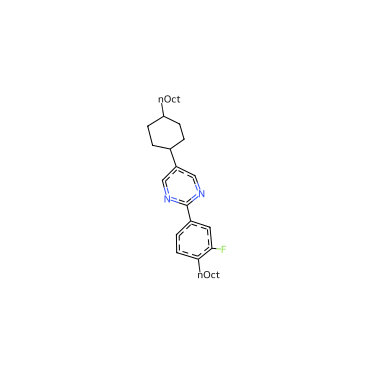 CCCCCCCCc1ccc(-c2ncc(C3CCC(CCCCCCCC)CC3)cn2)cc1F